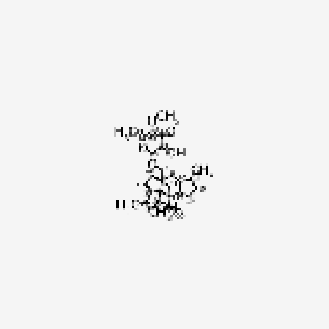 CO[C@H]1C(=O)[C@@H](O)[C@H](OCC23CC4C(C)CCC4C4(C=O)CC2C=C(C(C)C)C43C(=O)O)O[C@@H]1C